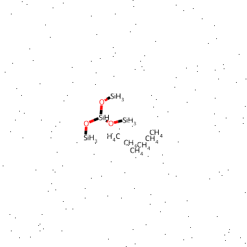 C.C.C.C.C.C.[SiH3]O[SiH](O[SiH3])O[SiH3]